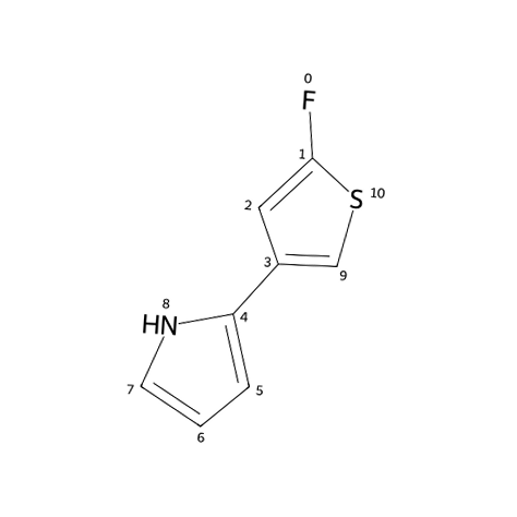 Fc1cc(-c2ccc[nH]2)cs1